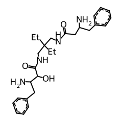 CCC(CC)(CNC(=O)CC(N)Cc1ccccc1)CNC(=O)C(O)C(N)Cc1ccccc1